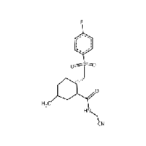 CC1CC[C@H](CS(=O)(=O)c2ccc(F)cc2)C(C(=O)NCC#N)C1